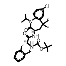 CC(C)N1C(=O)[C@H](NC(=O)[C@@H](Cc2ccccc2F)NC(=O)OC(C)(C)C)CC(F)(F)c2cc(Cl)ccc21